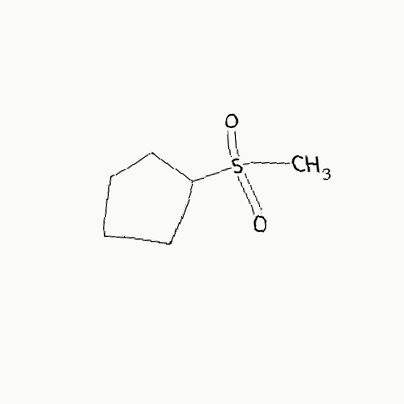 CS(=O)(=O)C1CCCC1